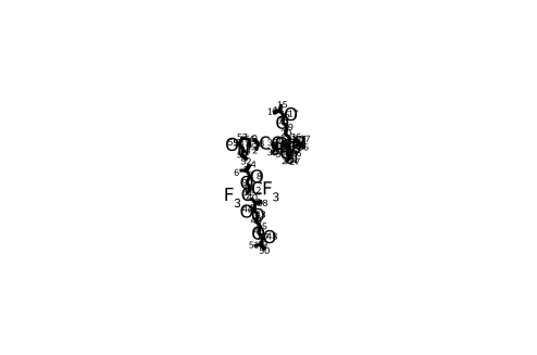 C=C(C)C(=O)O.C=C(C)C(=O)OC(C(F)(F)F)C(F)(F)F.C=C(C)C(=O)OCCC[Si](O[Si](C)(C)C)(O[Si](C)(C)C)O[Si](C)(C)C.C=C(C)C(=O)OCCOC(=O)C(=C)C.C=CN1CCCC1=O